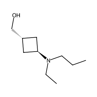 CCCN(CC)[C@H]1C[C@H](CO)C1